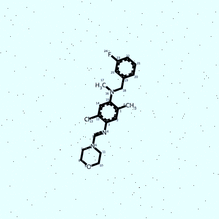 Cc1cc(N=CN2CCOCC2)c(Cl)cc1N(C)Cc1cccc(F)c1